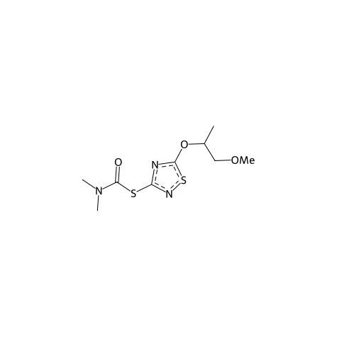 COCC(C)Oc1nc(SC(=O)N(C)C)ns1